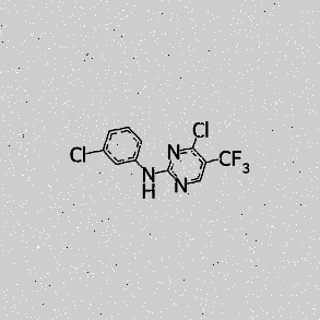 FC(F)(F)c1cnc(Nc2cccc(Cl)c2)nc1Cl